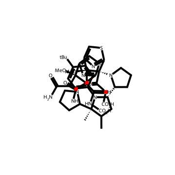 CO[C@@]1(CC(N)=O)c2csc(n2)[C@]1(C(=O)NC(=O)O)N1CCCC1[C@@H]1CC(C)[C@@](C)(C2CCCN2[C@@]2(C(=O)NC(=O)O)c3nc(cs3)[C@]2(CC(N)=O)OC)N1c1ccc(C(C)(C)C)cc1